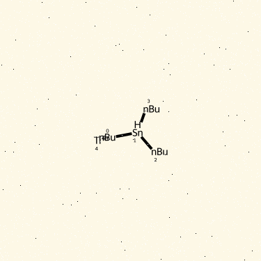 CCC[CH2][SnH]([CH2]CCC)[CH2]CCC.[Ti+4]